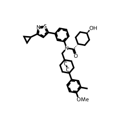 COc1ccc(C23CCC(CN(c4cccc(-c5cc(C6CC6)ns5)c4)C(=O)[C@H]4CC[C@H](O)CC4)(CC2)CC3)cc1C